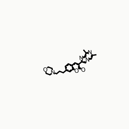 Cc1cn2cc(-c3cc4ccc(CCCN5CCOCC5)cc4oc3=O)nc2c(C)n1